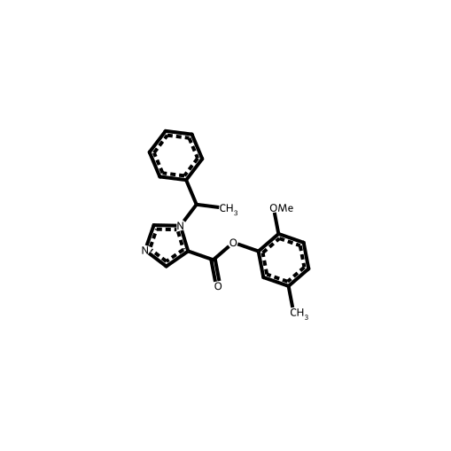 COc1ccc(C)cc1OC(=O)c1cncn1C(C)c1ccccc1